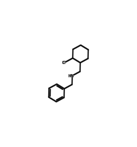 ClC1CCCCC1CNCc1ccccc1